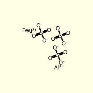 O=S(=O)([O-])[O-].O=S(=O)([O-])[O-].O=S(=O)([O-])[O-].[Al+3].[Al+3].[Fe]